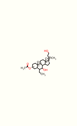 CCC1C(O)C2C(CC[C@@]3(C)C2CC[C@@H]3[C@H](C)CCO)[C@@]2(C)CC[C@@H](OC(C)=O)CC12